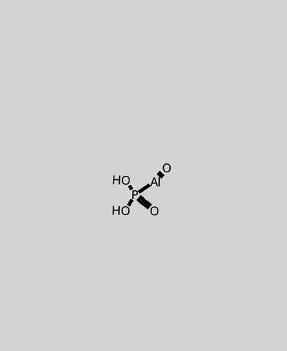 [O]=[Al][P](=O)(O)O